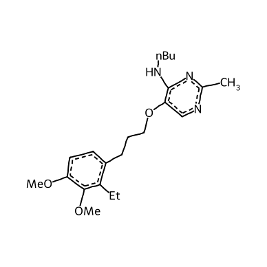 CCCCNc1nc(C)ncc1OCCCc1ccc(OC)c(OC)c1CC